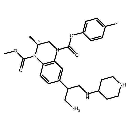 COC(=O)N1c2ccc(C(CN)CNC3CCNCC3)cc2N(C(=O)Oc2ccc(F)cc2)C[C@@H]1C